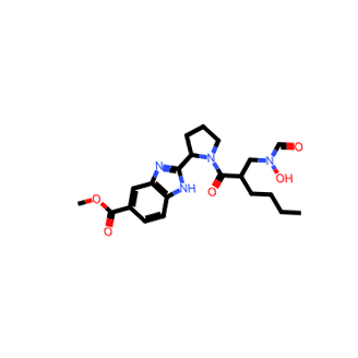 CCCCC(CN(O)C=O)C(=O)N1CCCC1c1nc2cc(C(=O)OC)ccc2[nH]1